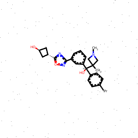 CC(C)c1ccc([C@](O)(c2cccc(-c3noc([C@H]4C[C@H](O)C4)n3)c2)C2(C)CN(C)C2)cc1